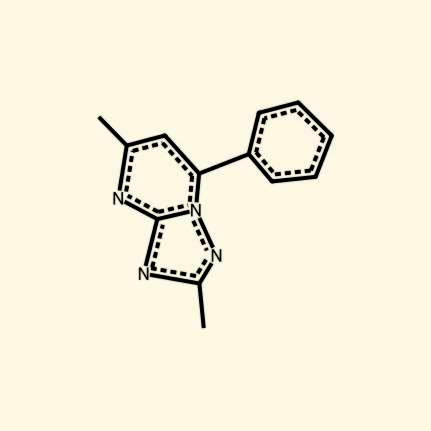 Cc1cc(-c2ccccc2)n2nc(C)nc2n1